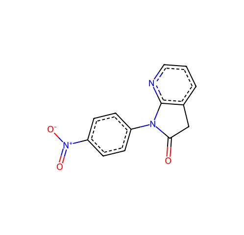 O=C1Cc2cccnc2N1c1ccc([N+](=O)[O-])cc1